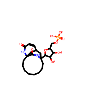 O=C1C=CC2CC3(CCCCCCCCC(C4OC(COP(=O)(O)O)C(O)C4O)(C2)NC3=O)N1